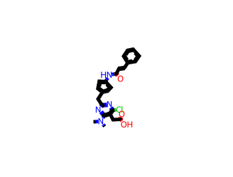 CN(C)c1nc(Cc2ccc(NC(=O)C=Cc3ccccc3)cc2)nc(Cl)c1CC(=O)O